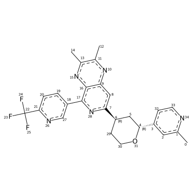 Cc1cc([C@H]2C[C@H](c3cc4nc(C)c(C)nc4c(-c4ccc(C(F)(F)F)nc4)n3)CCO2)ccn1